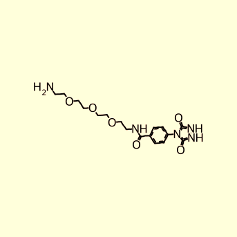 NCCOCCOCCOCCNC(=O)c1ccc(-n2c(=O)[nH][nH]c2=O)cc1